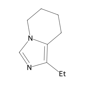 CCc1ncn2c1CCCC2